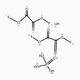 O=C(OF)C(=O)OF.O=C(OF)C(=O)OF.O=P(O)(O)O.[LiH]